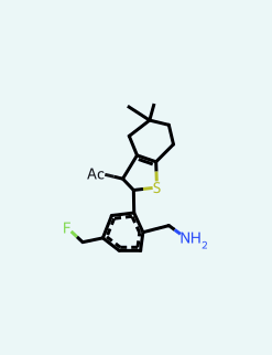 CC(=O)C1C2=C(CCC(C)(C)C2)SC1c1cc(CF)ccc1CN